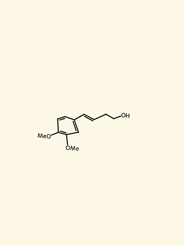 COc1ccc(C=CCCO)cc1OC